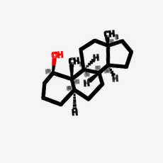 C[C@@]12CCC[C@H]1[C@@H]1CC[C@H]3CCC[C@@H](O)[C@]3(C)[C@H]1CC2